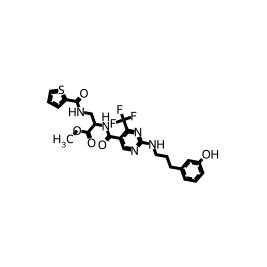 COC(=O)C(CNC(=O)c1cccs1)NC(=O)c1cnc(NCCCc2cccc(O)c2)nc1C(F)(F)F